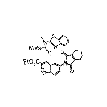 CCOC(=O)/C(Cl)=C/c1cc(N2C(=O)C3=C(CCCC3)C2=O)ccc1Cl.CNC(=O)N(C)c1nc2ccccc2s1